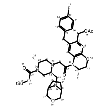 CC(=O)OCc1nc2c(cc1Cc1ccc(F)cc1)N(C(=O)CN1C[C@@H](C)N(C(=O)OC(C)(C)C)C[C@@H]1CN1C3CCC1COC3)[C@@H](C)CO2